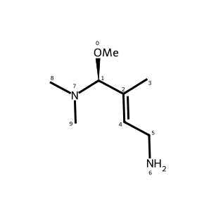 CO[C@@H](/C(C)=C/CN)N(C)C